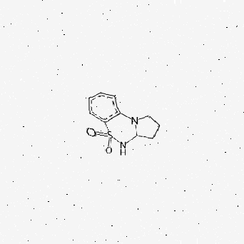 O=S1(=O)NC2CCCN2c2cc[c]cc21